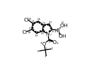 CC(C)(C)OC(=O)n1c(B(O)O)cc2cc(Cl)c(Cl)cc21